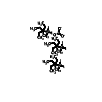 CCI(C)(CC)(CC)[N+](I)(I)I.CCI(C)(CC)(CC)[N+](I)(I)I.CCI(C)(CC)(CC)[N+](I)(I)I.[O-]B([O-])[O-]